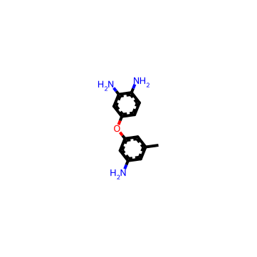 Cc1cc(N)cc(Oc2ccc(N)c(N)c2)c1